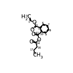 C=COC(=O)c1ccccc1C(=O)OC(=O)CCC